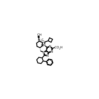 C#C[C@H]1CC[C@H](Cn2c(C3CCCCC3c3ccccc3)nc3nc(C(=O)O)nc(N[C@H](C)C4CCC4)c32)CC1